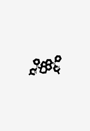 Cc1ccc(N(C2=c3ccc4ccc(N(c5ccccc5)c5ccc(C)cn5)c5ccc(c3c45)C=CC2)c2ccccc2)nc1